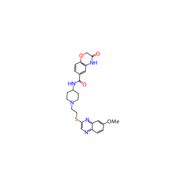 COc1ccc2ncc(SCCN3CCC(NC(=O)c4ccc5c(c4)NC(=O)CO5)CC3)nc2c1